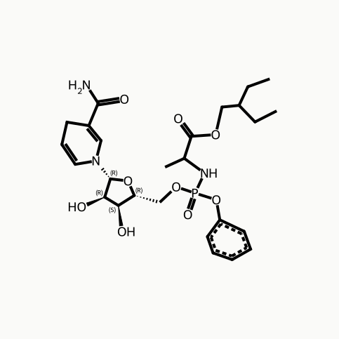 CCC(CC)COC(=O)C(C)NP(=O)(OC[C@H]1O[C@@H](N2C=CCC(C(N)=O)=C2)[C@H](O)[C@@H]1O)Oc1ccccc1